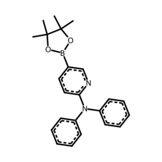 CC1(C)OB(c2ccc(N(c3ccccc3)c3ccccc3)nc2)OC1(C)C